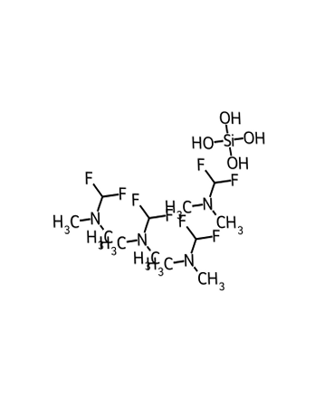 CN(C)C(F)F.CN(C)C(F)F.CN(C)C(F)F.CN(C)C(F)F.O[Si](O)(O)O